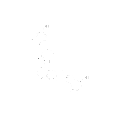 Cc1cc(O)cc(C)c1CC(N)C(=O)NC1CCNc2ccc(CC3Cc4cccc(O)c4C3)cc21